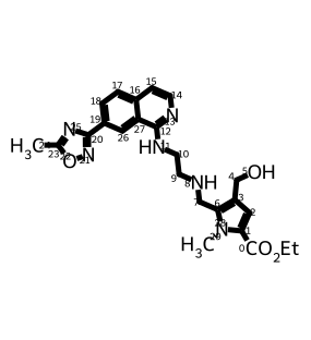 CCOC(=O)c1cc(CO)c(CNCCNc2nccc3ccc(-c4noc(C)n4)cc23)n1C